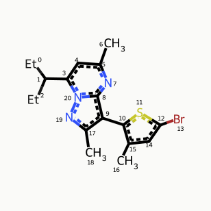 CCC(CC)c1cc(C)nc2c(-c3sc(Br)cc3C)c(C)nn12